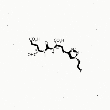 O=C[C@H](CCC(=O)O)NC(=O)N[C@@H](CCc1cn(CCF)nn1)C(=O)O